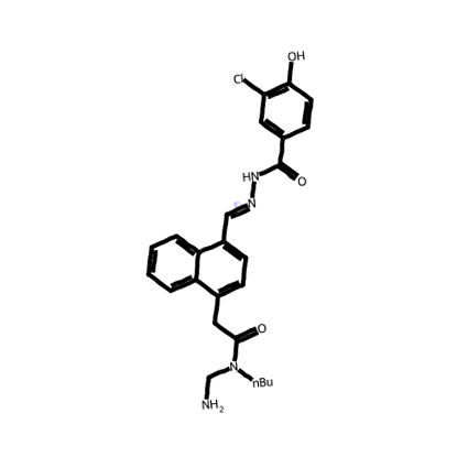 CCCCN(CN)C(=O)Cc1ccc(/C=N/NC(=O)c2ccc(O)c(Cl)c2)c2ccccc12